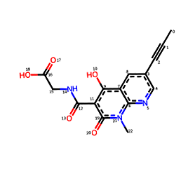 CC#Cc1cnc2c(c1)c(O)c(C(=O)NCC(=O)O)c(=O)n2C